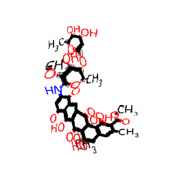 COC(=O)c1c(C)cc2c(c1O)[C@]1(O)C(=O)c3cc4c(c(O)c3C(=O)[C@]1(OC)[C@H](O)C2)C(=O)C=C(N[C@H]1O[C@@H](C)[C@H](O[C@@H]2CC(O)[C@H](O)[C@H](C)O2)[C@@H](O)[C@H]1OC)C4=O